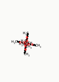 CCCCOCCO[Si]1(C)O[Si](C)(OCCOCCCC)O[Si](C)(OCCOCCCC)O[Si](C)(OCCOCCCC)O1